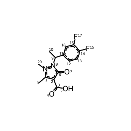 Cc1c(C(=O)O)c(=O)n(C(C)c2ccc(F)c(F)c2)n1C